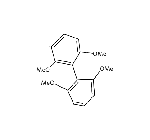 COc1[c]ccc(OC)c1-c1c(OC)cccc1OC